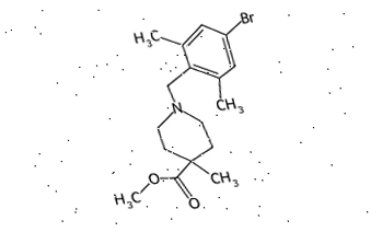 COC(=O)C1(C)CCN(Cc2c(C)cc(Br)cc2C)CC1